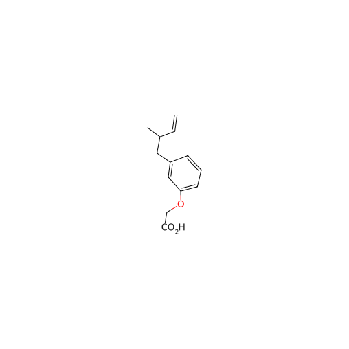 C=CC(C)Cc1cccc(OCC(=O)O)c1